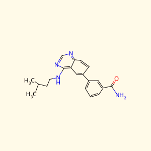 CC(C)CCNc1ncnc2ccc(-c3cccc(C(N)=O)c3)cc12